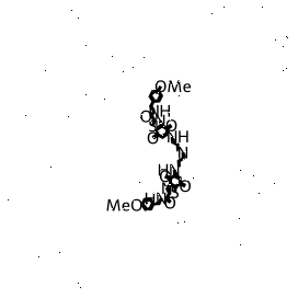 COc1ccc(CNC(=O)c2nc3c(s2)C(=O)C=C(NCCCN(C)CCCNC2=CC(=O)c4sc(C(=O)NCc5ccc(OC)cc5)nc4C2=O)C3=O)cc1